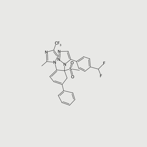 Cc1nc(C(F)(F)F)cn1C1=CC=C(c2ccccc2)CC1(n1nncc1-c1ccc(C(F)F)cc1)S(C)(=O)=O